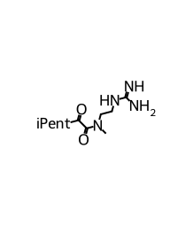 CCCC(C)C(=O)C(=O)N(C)CCNC(=N)N